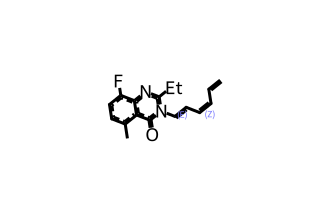 C=C/C=C\C=C\n1c(CC)nc2c(F)ccc(C)c2c1=O